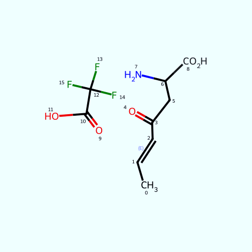 C/C=C/C(=O)CC(N)C(=O)O.O=C(O)C(F)(F)F